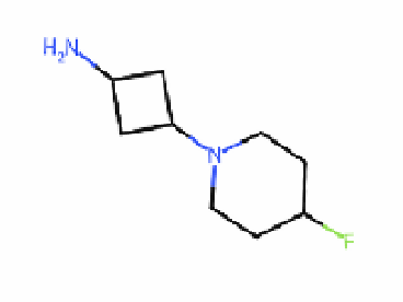 NC1CC(N2CCC(F)CC2)C1